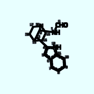 O=CNC1C(c2cc3ccccc3[nH]2)C2CCN1CC2